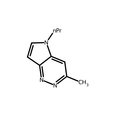 CCCn1ccc2nnc(C)cc21